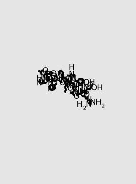 CC[C@H](C)[C@H](NC(=O)[C@H](Cc1ccc(O)cc1)NC(=O)[C@@H](NC(=O)[C@H](CCCN=C(N)N)NC(=O)[C@@H](N)CC(=O)O)C(C)C)C(=O)N[C@@H](Cc1cnc[nH]1)C(=O)N1CCC[C@H]1C(=O)N[C@@H](Cc1ccccc1)C(=O)N[C@@H](Cc1cnc[nH]1)C(=O)N[C@@H](CC(C)C)C(=O)OC=O